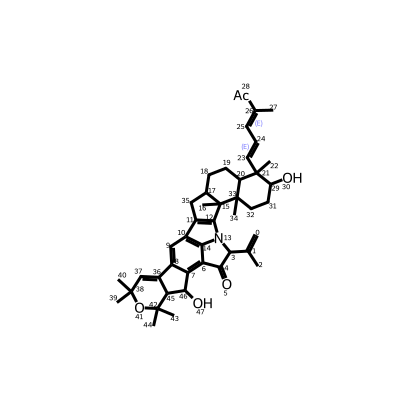 C=C(C)C1C(=O)c2c3c(cc4c5c(n1c24)C1(C)C(CCC2C(C)(/C=C/C=C(\C)C(C)=O)C(O)CCC21C)C5)C1=CC(C)(C)OC(C)(C)C1C3O